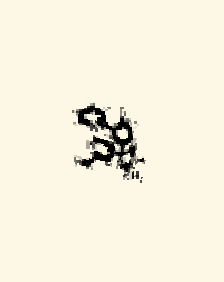 CN1C(=O)C(c2ccnc(CF)c2)(c2ccc(F)c(-c3ccccn3)c2)N=C1N